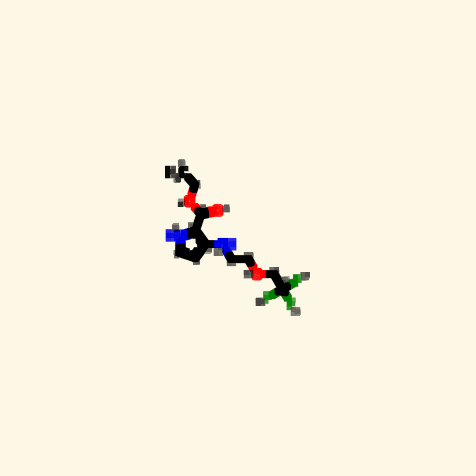 CCOC(=O)c1[nH]ccc1NCCOCC(F)(F)F